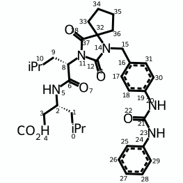 CC(C)C[C@H](CC(=O)O)NC(=O)[C@H](CC(C)C)N1C(=O)N(Cc2ccc(NC(=O)Nc3ccccc3)cc2)C2(CCCC2)C1=O